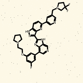 Fc1cc(OCCN2CCCC2)cc(-c2cncc3[nH]c(-c4n[nH]c5ccc(-c6cncc(CN7CCC(F)(F)C7)c6)nc45)nc23)c1